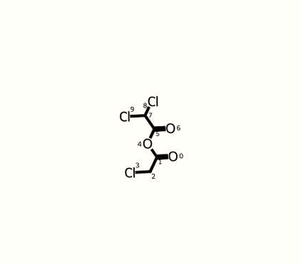 O=C(CCl)OC(=O)C(Cl)Cl